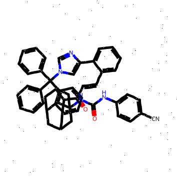 N#Cc1ccc(NC(=O)NC23CC4CC(C2)C(C(=O)/C=C/c2ccccc2-c2cn(C(c5ccccc5)(c5ccccc5)c5ccccc5)cn2)C(C4)C3)cc1